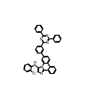 Clc1ccccc1Nc1cnc2c3ccccc3c3ccc(-c4cccc(-c5nc(-c6ccccc6)nc(-c6ccccc6)n5)c4)cc3n12